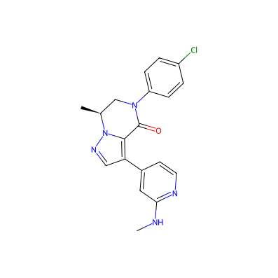 CNc1cc(-c2cnn3c2C(=O)N(c2ccc(Cl)cc2)C[C@@H]3C)ccn1